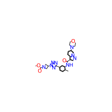 COC(=O)N1CC(n2nnc(-c3ccc(C)c(NC(=O)c4cnn5cc(N6CCOCC6)ccc45)c3)n2)C1